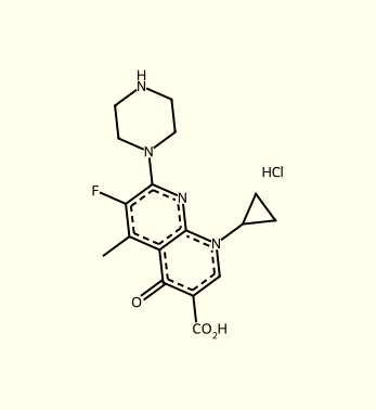 Cc1c(F)c(N2CCNCC2)nc2c1c(=O)c(C(=O)O)cn2C1CC1.Cl